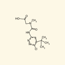 CN(CC(=O)O)C(=O)Nc1cc(C(C)(C)C)c(Cl)nn1